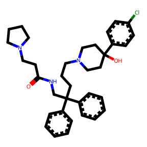 O=C(CCN1CCCC1)NCC(CCCN1CCC(O)(c2ccc(Cl)cc2)CC1)(c1ccccc1)c1ccccc1